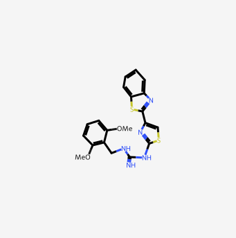 COc1cccc(OC)c1CNC(=N)Nc1nc(-c2nc3ccccc3s2)cs1